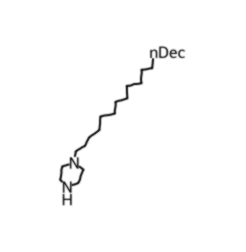 CCCCCCCCCCCCCCCCCCCCCCN1CCNCC1